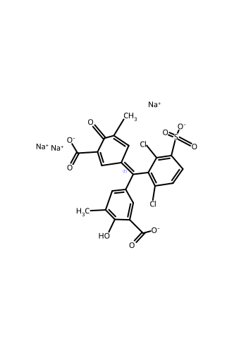 CC1=C/C(=C(/c2cc(C)c(O)c(C(=O)[O-])c2)c2c(Cl)ccc(S(=O)(=O)[O-])c2Cl)C=C(C(=O)[O-])C1=O.[Na+].[Na+].[Na+]